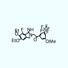 CCOc1cc2c(c(F)c1OCC)C(=N)N(CC(=O)c1cc(OC)cc(S(F)(F)(F)(F)F)c1)C2